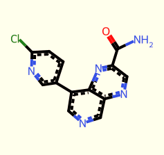 NC(=O)c1cnc2cncc(-c3ccc(Cl)nc3)c2n1